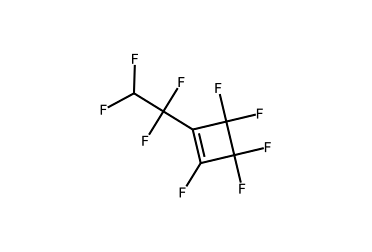 FC1=C(C(F)(F)C(F)F)C(F)(F)C1(F)F